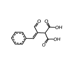 O=C/C(=C\c1ccccc1)C(C(=O)O)C(=O)O